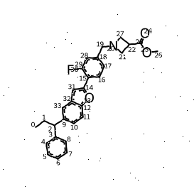 CCC(c1ccccc1)c1ccc2oc(-c3ccc(CN4CC(C(=O)OC)C4)cc3F)cc2c1